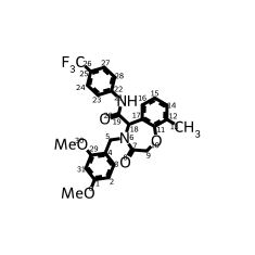 COc1ccc(CN2C(=O)COc3c(C)cccc3C2C(=O)Nc2ccc(C(F)(F)F)cc2)c(OC)c1